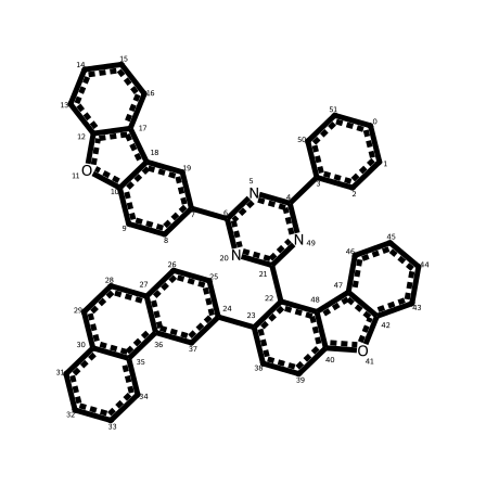 c1ccc(-c2nc(-c3ccc4oc5ccccc5c4c3)nc(-c3c(-c4ccc5ccc6ccccc6c5c4)ccc4oc5ccccc5c34)n2)cc1